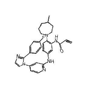 C=CC(=O)Nc1cc(Nc2cc(-n3ccnc3-c3ccc(F)cc3)ccn2)ccc1N1CCCC(C)CC1